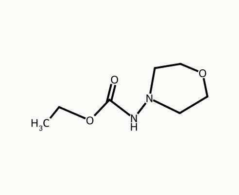 CCOC(=O)NN1CCOCC1